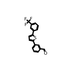 O=Cc1cccc(-c2ccc(-c3cccc(C(F)(F)F)c3)s2)c1